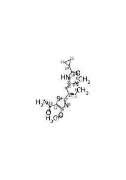 C=N/C(=C\C(=C/C)c1nc(OC)c(C(N)=O)s1)NC(=O)C1CC1